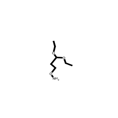 CCOC(CCON)OCC